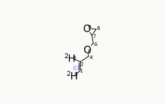 [2H]/C=C(\[2H])COCC1CO1